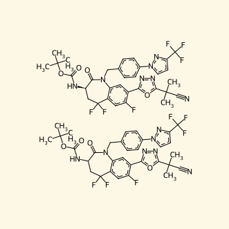 CC(C)(C)OC(=O)NC1CC(F)(F)c2cc(F)c(-c3nnc(C(C)(C)C#N)o3)cc2N(Cc2ccc(-n3ccc(C(F)(F)F)n3)cc2)C1=O.CC(C)(C)OC(=O)N[C@@H]1CC(F)(F)c2cc(F)c(-c3nnc(C(C)(C)C#N)o3)cc2N(Cc2ccc(-n3ccc(C(F)(F)F)n3)cc2)C1=O